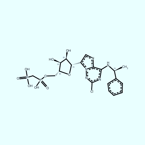 C[C@H](Nc1nc(Cl)nn2c([C@@H]3O[C@H](COP(=O)(O)CP(=O)(O)O)[C@@H](O)[C@H]3O)cnc12)c1ccccc1